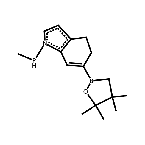 CPn1ccc2c1C=C(B1CC(C)(C)C(C)(C)O1)CC2